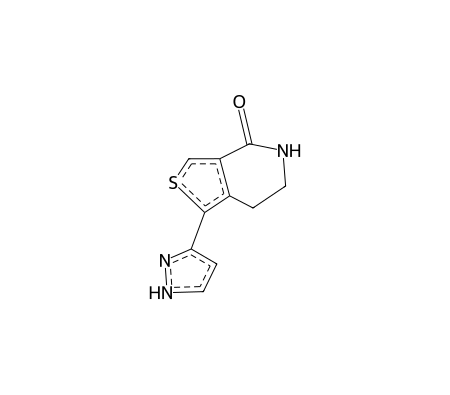 O=C1NCCc2c1csc2-c1cc[nH]n1